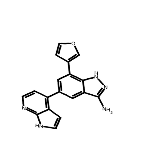 Nc1n[nH]c2c(-c3ccoc3)cc(-c3ccnc4[nH]ccc34)cc12